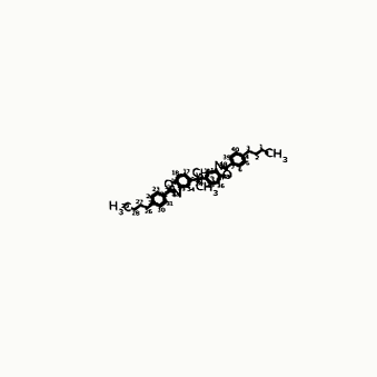 CCCCc1ccc(-c2nc3cc(C(C)(C)c4ccc5oc(-c6ccc(CCCC)cc6)nc5c4)ccc3o2)cc1